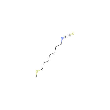 CSCCCCCCCN=C=S